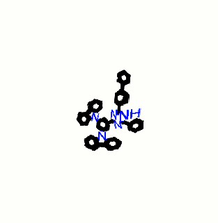 c1ccc(-c2ccc(C3=NC(c4cc(-n5c6ccccc6c6ccccc65)cc(-n5c6ccccc6c6ccccc65)c4)=NC(c4ccccc4)N3)cc2)cc1